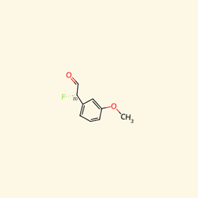 COc1cccc([C@H](F)C=O)c1